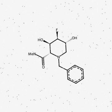 CNC(=O)[C@@H]1[C@@H](O)[C@@H](F)[C@H](O)CN1Cc1ccccc1